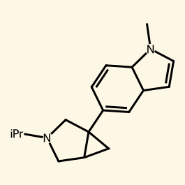 CC(C)N1CC2CC2(C2=CC3C=CN(C)C3C=C2)C1